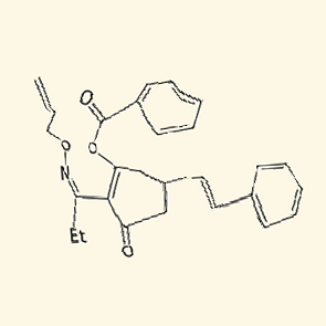 C=CCO/N=C(/CC)C1=C(OC(=O)c2ccccc2)CC(/C=C/c2ccccc2)CC1=O